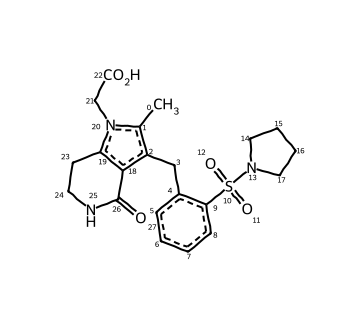 Cc1c(Cc2ccccc2S(=O)(=O)N2CCCC2)c2c(n1CC(=O)O)CCNC2=O